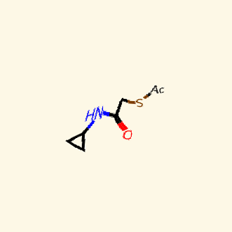 CC(=O)SCC(=O)NC1CC1